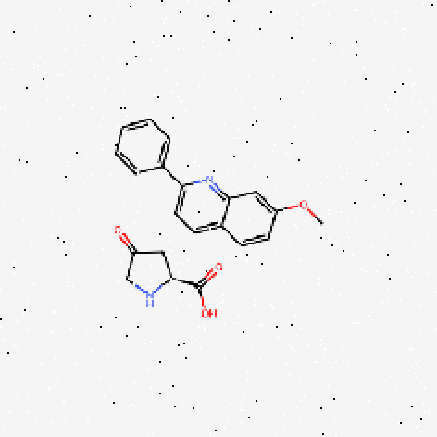 COc1ccc2ccc(-c3ccccc3)nc2c1.O=C1CN[C@H](C(=O)O)C1